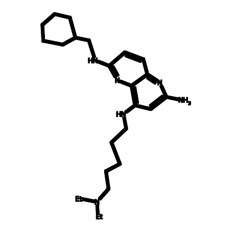 CCN(CC)CCCCCNc1cc(N)nc2ccc(NCC3CCCCC3)nc12